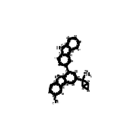 CCC(C)c1ccc2sc3c(-c4ccc5[nH]c6ccccc6c5c4)cc(C4(C)C5CC54)cc3c2c1